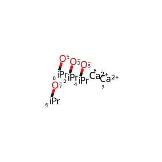 CC(C)[O-].CC(C)[O-].CC(C)[O-].CC(C)[O-].[Ca+2].[Ca+2]